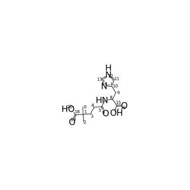 CC(C)(CCC(=O)NC(Cc1c[nH]cn1)C(=O)O)C(=O)O